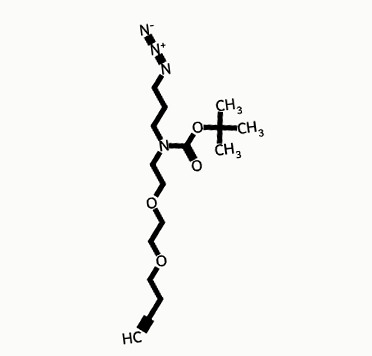 C#CCCOCCOCCN(CCCN=[N+]=[N-])C(=O)OC(C)(C)C